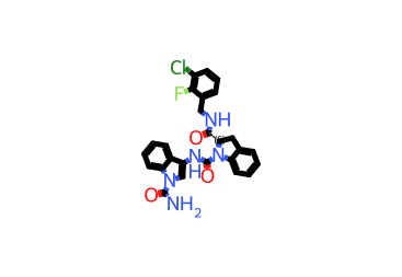 NC(=O)n1cc(NC(=O)N2c3ccccc3C[C@H]2C(=O)NCc2cccc(Cl)c2F)c2ccccc21